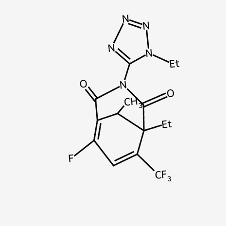 CCn1nnnc1N1C(=O)C2=C(F)C=C(C(F)(F)F)C(CC)(C1=O)C2C